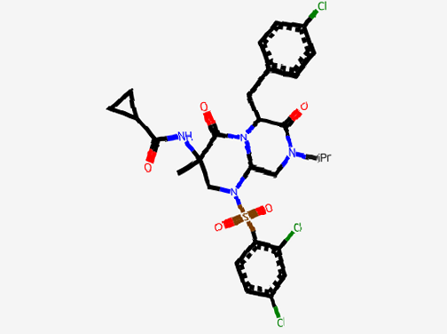 CC(C)N1CC2N(C(=O)C(C)(NC(=O)C3CC3)CN2S(=O)(=O)c2ccc(Cl)cc2Cl)C(Cc2ccc(Cl)cc2)C1=O